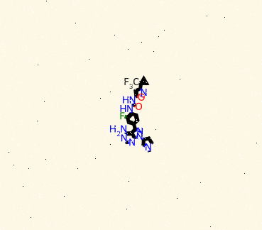 CN1CCC(n2nc(-c3ccc(NC(=O)Nc4cc(C5(C(F)(F)F)CC5)no4)c(F)c3)c3c(N)ncnc32)C1